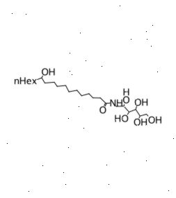 CCCCCCC(O)CCCCCCCCCCC(=O)NCC(O)C(O)C(O)C(O)CO